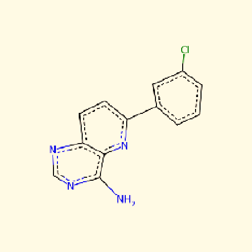 Nc1ncnc2ccc(-c3cccc(Cl)c3)nc12